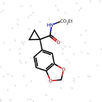 CCOC(=O)NC(=O)C1(c2ccc3c(c2)OCO3)CC1